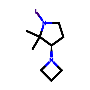 CC1(C)[C@H](N2CCC2)CCN1I